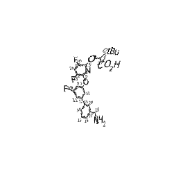 CC(C)(C)C(Oc1nc(Oc2cc(F)cc(-c3cccc(CN)c3)c2)c(F)cc1F)C(=O)O